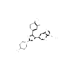 Cn1cnc2cc(-c3sc(N4CCC(N)CC4)nc3C3=CC(F)=C(C#N)CC3)cnc21